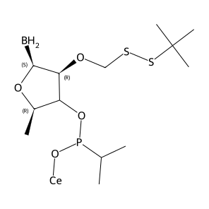 B[C@@H]1O[C@H](C)C(OP([O][Ce])C(C)C)[C@@H]1OCSSC(C)(C)C